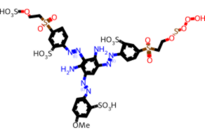 COc1ccc(/N=N/c2cc(/N=N/c3ccc(S(=O)(=O)CCOSOOO)cc3S(=O)(=O)O)c(N)c(/N=N/c3ccc(S(=O)(=O)CCOS(=O)(=O)O)cc3S(=O)(=O)O)c2N)c(S(=O)(=O)O)c1